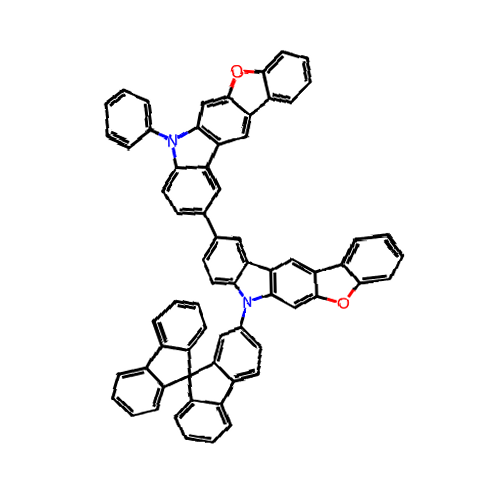 c1ccc(-n2c3ccc(-c4ccc5c(c4)c4cc6c(cc4n5-c4ccc5c(c4)C4(c7ccccc7-c7ccccc74)c4ccccc4-5)oc4ccccc46)cc3c3cc4c(cc32)oc2ccccc24)cc1